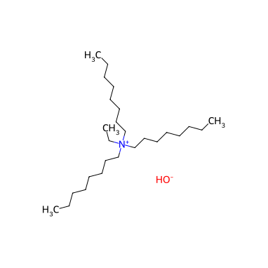 CCCCCCCC[N+](CC)(CCCCCCCC)CCCCCCCC.[OH-]